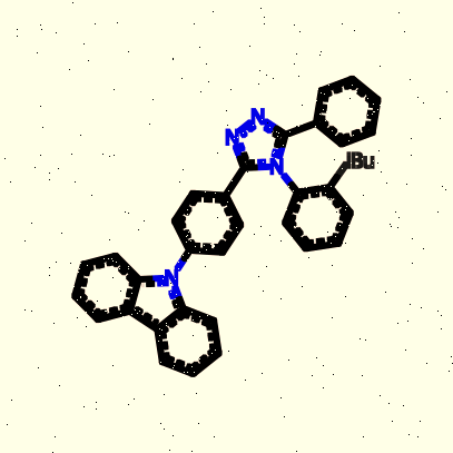 CCC(C)c1ccccc1-n1c(-c2ccccc2)nnc1-c1ccc(-n2c3ccccc3c3ccccc32)cc1